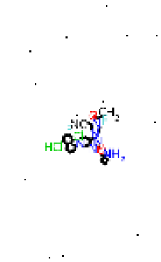 C=C(F)C(=O)N1CCN(c2nc(OCC3(N)CCC3)nc3c2CCN(c2cccc4ccc(F)c(Cl)c24)C3)CC1CC#N.Cl